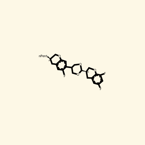 CCCCC[C@H]1COc2cc(C3COC([C@H]4COc5c(F)cc(F)cc5C4)OC3)c(F)cc2C1